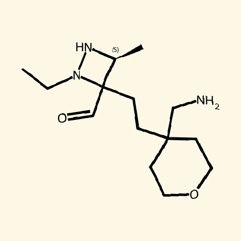 CCN1N[C@@H](C)C1(C=O)CCC1(CN)CCOCC1